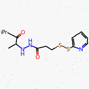 CC(C)C(=O)C(C)NNC(=O)CCSSc1ccccn1